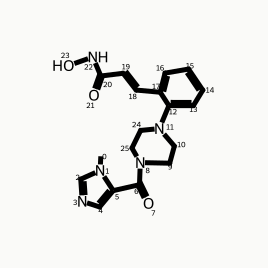 Cn1cncc1C(=O)N1CCN(c2ccccc2C=CC(=O)NO)CC1